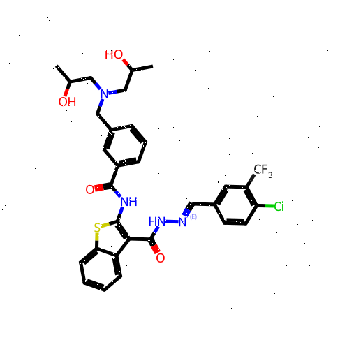 CC(O)CN(Cc1cccc(C(=O)Nc2sc3ccccc3c2C(=O)N/N=C/c2ccc(Cl)c(C(F)(F)F)c2)c1)CC(C)O